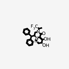 CC(N1CC(C(c2ccccc2)c2ccccc2)N2N=CC(O)C(O)=C2C1=O)C(F)(F)F